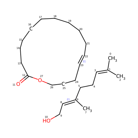 CC(C)=CCC/C(C)=C/CO.O=C1CCCCCCCCC/C=C/CCCO1